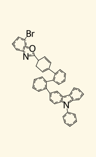 Brc1cccc2nc(C3C=CC(c4ccccc4-c4ccccc4-c4ccc5c(c4)c4ccccc4n5-c4ccccc4)=CC3)oc12